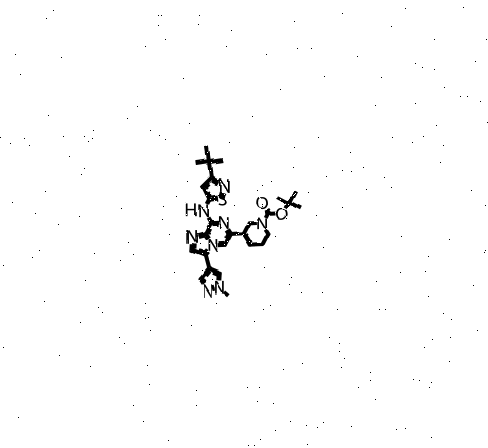 Cn1cc(-c2cnc3c(Nc4cc(C(C)(C)C)ns4)nc(C4=CCCN(C(=O)OC(C)(C)C)C4)cn23)cn1